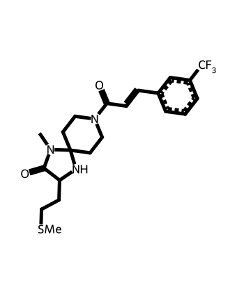 CSCCC1NC2(CCN(C(=O)C=Cc3cccc(C(F)(F)F)c3)CC2)N(C)C1=O